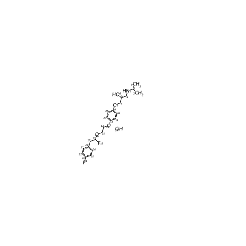 CC(C)NCC(O)COc1ccc(OCCOC(F)Cc2ccc(F)cc2)cc1.Cl